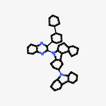 c1ccc(-c2cccc(-c3nc4ccccc4nc3-n3c4ccc(-n5c6ccccc6c6ccccc65)cc4c4c5ccccc5ccc43)c2)cc1